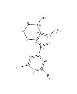 Cc1cn(-c2cc(F)cc(F)c2)c2c1C(O)CCC2